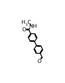 CNC(=O)c1ccc(-c2ccc(C=O)cc2)cc1